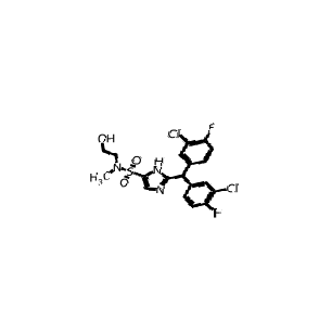 CN(CCO)S(=O)(=O)c1cnc(C(c2ccc(F)c(Cl)c2)c2ccc(F)c(Cl)c2)[nH]1